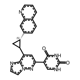 O=c1[nH]cc(-c2cc(C3C[C@@H]3c3ccc4cccnc4c3)c3nccn3n2)c(=O)[nH]1